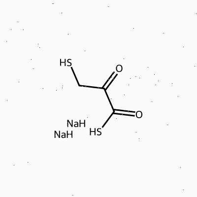 O=C(S)C(=O)CS.[NaH].[NaH]